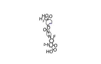 C[C@@]1(C(=O)O)CC/C=C/[C@H](OC(=O)N2CCN(c3cc4c(cc3F)c(=O)c(C(=O)O)cn4C3CC3)CC2)CC1